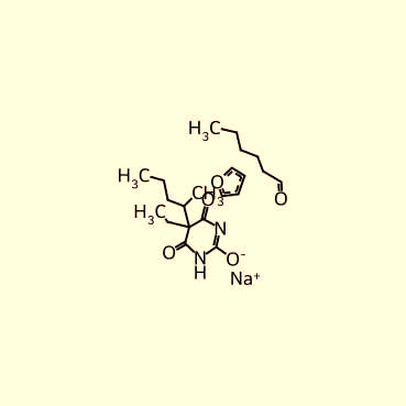 CCCC(C)C1(CC)C(=O)N=C([O-])NC1=O.CCCCCC=O.[Na+].c1ccoc1